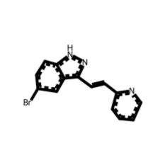 Brc1ccc2[nH]nc(C=Cc3ccccn3)c2c1